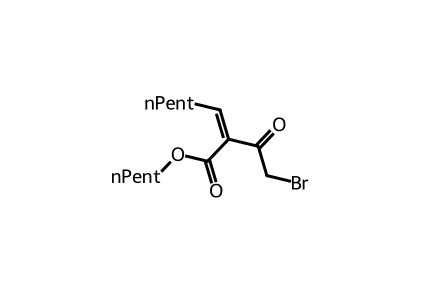 CCCCCC=C(C(=O)CBr)C(=O)OCCCCC